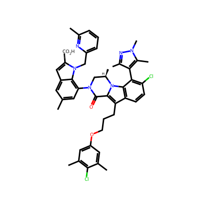 Cc1cc(N2C[C@@H](C)n3c(c(CCCOc4cc(C)c(Cl)c(C)c4)c4ccc(Cl)c(-c5c(C)nn(C)c5C)c43)C2=O)c2c(c1)cc(C(=O)O)n2Cc1cccc(C)n1